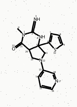 CN1C(=N)NC2(c3cccs3)CN(c3cccnc3)CC2C1=O